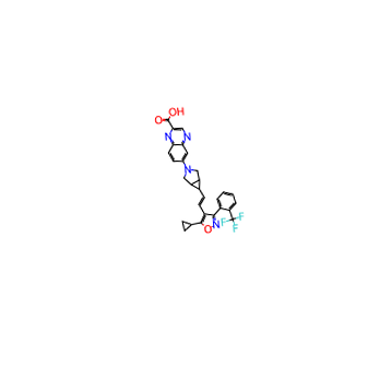 O=C(O)c1cnc2cc(N3CC4C(C=Cc5c(-c6ccccc6C(F)(F)F)noc5C5CC5)C4C3)ccc2n1